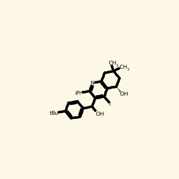 CC(C)c1nc2c(c(I)c1C(O)c1ccc(C(C)(C)C)cc1)[C@@H](O)CC(C)(C)C2